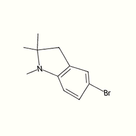 CN1c2ccc(Br)cc2CC1(C)C